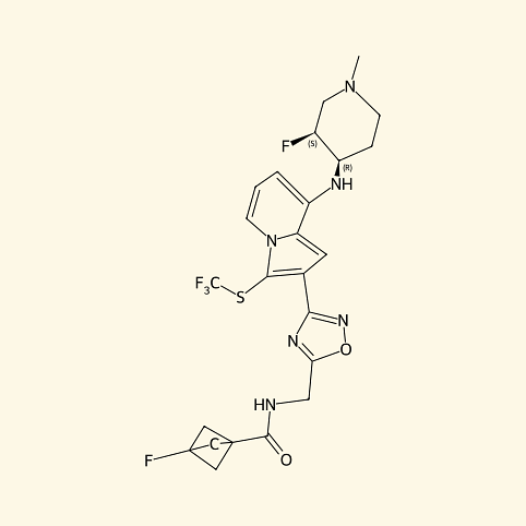 CN1CC[C@@H](Nc2cccn3c(SC(F)(F)F)c(-c4noc(CNC(=O)C56CC(F)(C5)C6)n4)cc23)[C@@H](F)C1